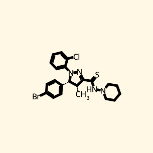 C[C@H]1C(C(=S)NN2CCCCC2)=NN(c2ccccc2Cl)[C@H]1c1ccc(Br)cc1